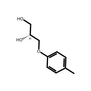 Cc1ccc(OC[C@H](O)CO)cc1